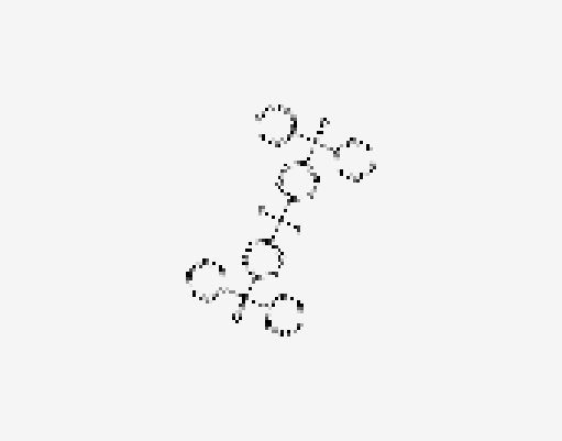 O=P(c1ccccc1)(c1ccccc1)c1ccc(C(F)(F)c2ccc(P(=O)(c3ccccc3)c3ccccc3)cc2)cc1